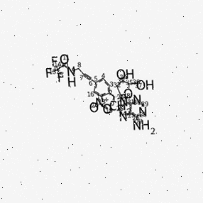 CC(c1ccc(C#CCNC(=O)C(F)(F)F)cc1[N+](=O)[O-])[C@]1(n2cnc3c(N)ncnc32)C[C@H](O)[C@@H](CO)O1